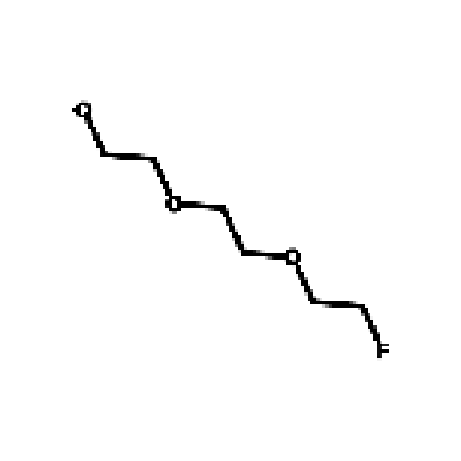 [O]CCOCCOCCF